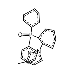 Cc1ccn(-c2ccccc2P(=O)(c2ccccc2)c2ccccc2)n1